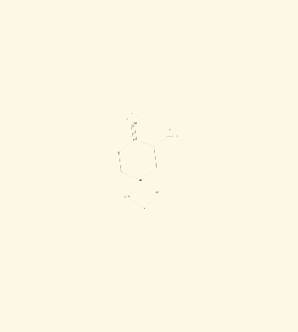 CC(=O)C1CC2(CCC2)CCC1=O